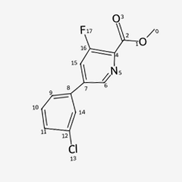 COC(=O)c1ncc(-c2cccc(Cl)c2)cc1F